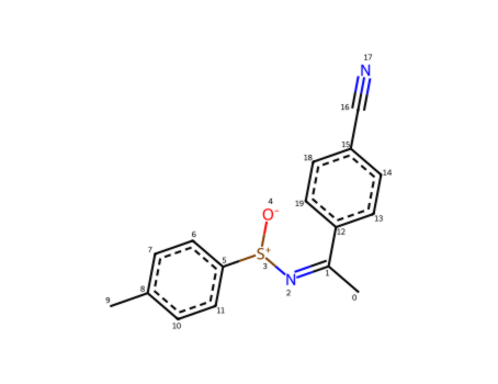 CC(=N[S+]([O-])c1ccc(C)cc1)c1ccc(C#N)cc1